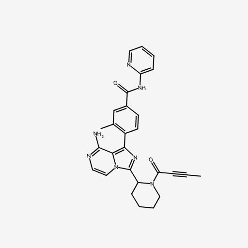 CC#CC(=O)N1CCCCC1c1nc(-c2ccc(C(=O)Nc3ccccn3)cc2C)c2c(N)nccn12